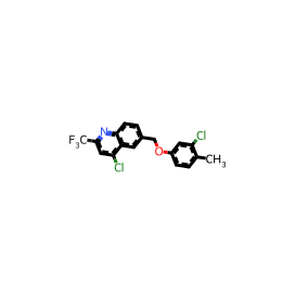 Cc1ccc(OCc2ccc3nc(C(F)(F)F)cc(Cl)c3c2)cc1Cl